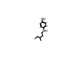 CCC(C)[CH]CNc1ccc(O)cc1